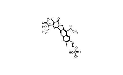 CC[C@@]1(O)C(=O)OCc2c1cc1n(c2=O)Cc2c-1nc1cc(F)c(OCOP(=O)(O)O)cc1c2NC